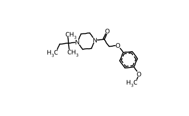 CCC(C)(C)N1CCN(C(=O)COc2ccc(OC)cc2)CC1